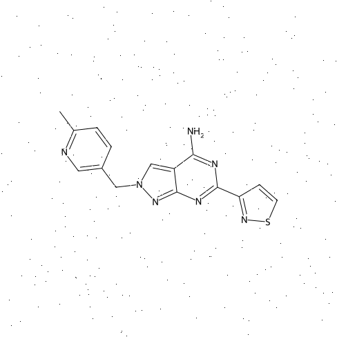 Cc1ccc(Cn2cc3c(N)nc(-c4ccsn4)nc3n2)cn1